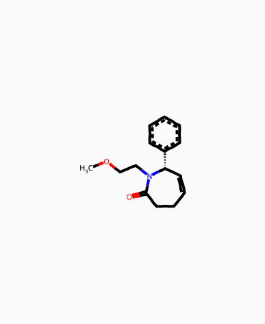 COCCN1C(=O)CCC=C[C@H]1c1ccccc1